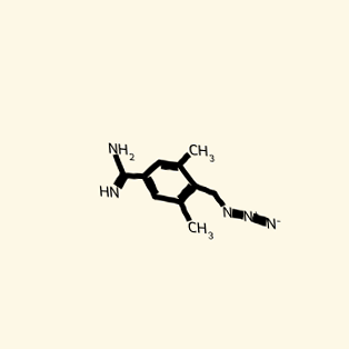 Cc1cc(C(=N)N)cc(C)c1CN=[N+]=[N-]